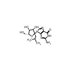 CC(C)C[C@@]1(n2cnc3c(=O)[nH]c(N)nc32)O[C@H](CO)[C@@H](O)[C@H]1O